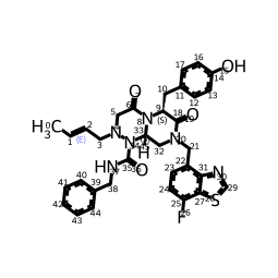 C/C=C/CN1CC(=O)N2[C@@H](Cc3ccc(O)cc3)C(=O)N(Cc3ccc(F)c4scnc34)C[C@@H]2N1C(=O)NCc1ccccc1